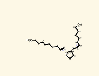 CCCCCCCC/C=C/[C@H]1CCC[C@@H]1C/C=C\CCCCCO